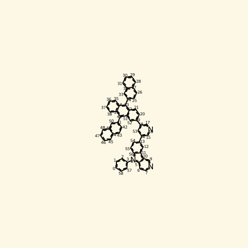 c1ccc(-n2c3ccncc3c3cc(-c4cncc(-c5ccc6c(-c7ccc8ccccc8c7)c7ccccc7c(-c7ccc8ccccc8c7)c6c5)c4)ccc32)cc1